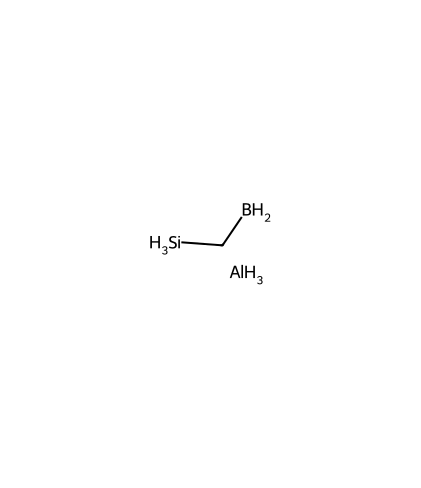 BC[SiH3].[AlH3]